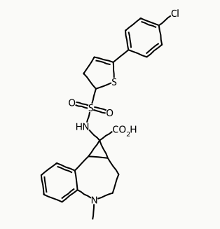 CN1CCC2C(c3ccccc31)C2(NS(=O)(=O)C1CC=C(c2ccc(Cl)cc2)S1)C(=O)O